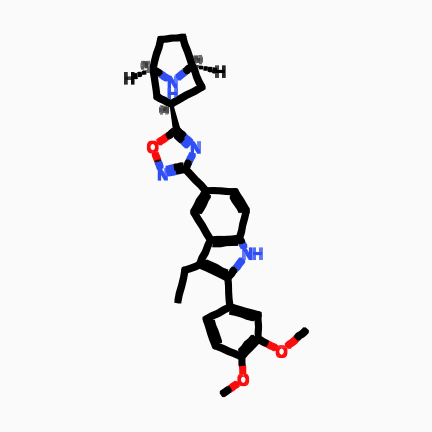 CCc1c(-c2ccc(OC)c(OC)c2)[nH]c2ccc(-c3noc([C@H]4C[C@H]5CC[C@@H](C4)N5)n3)cc12